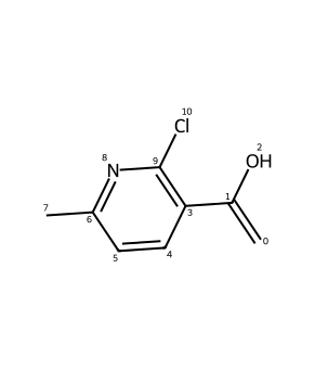 C=C(O)c1ccc(C)nc1Cl